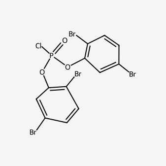 O=P(Cl)(Oc1cc(Br)ccc1Br)Oc1cc(Br)ccc1Br